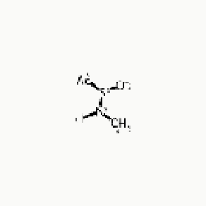 CC(=O)[S+]([O-])N(C)I